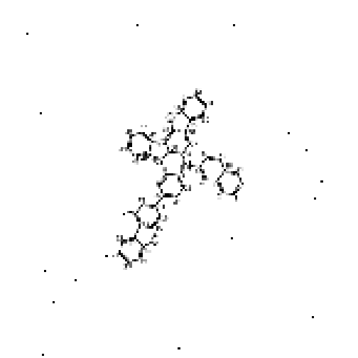 c1ccc2cc(N(c3ccc(-c4ccc5c(c4)oc4ccccc45)cc3)c3cc4c5ccccc5oc4c4c3sc3ccccc34)ccc2c1